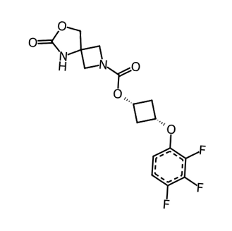 O=C1NC2(CO1)CN(C(=O)O[C@H]1C[C@@H](Oc3ccc(F)c(F)c3F)C1)C2